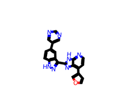 c1ncc(-c2ccc3[nH]nc(-c4nc5c(-c6ccoc6)ccnc5[nH]4)c3c2)cn1